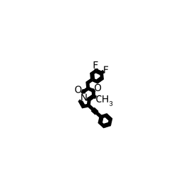 CC1=C2C(C#Cc3ccccc3)C=CN2C(=O)C(Cc2ccc(F)c(F)c2)C1=O